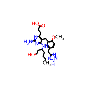 CCCCC(CCO)Nc1nc(N)nc(CCC(=O)O)c1Cc1cc(Cc2nn[nH]n2)ccc1OC